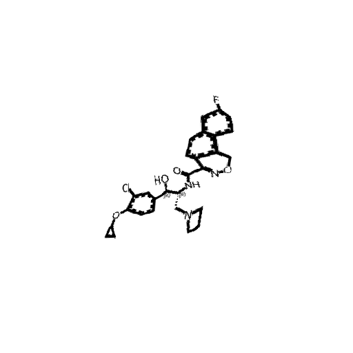 O=C(N[C@H](CN1CCC1)[C@H](O)c1ccc(OC2CC2)c(Cl)c1)C1=NOCc2c1ccc1cc(F)ccc21